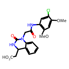 COc1cc(OC)c(NC(=O)CN2C(=O)NC(CC(=O)O)c3ccccc32)cc1Cl